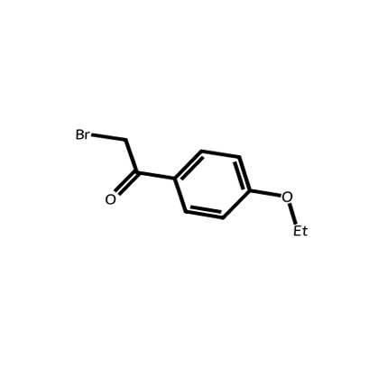 CCOc1ccc(C(=O)CBr)cc1